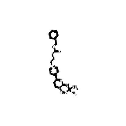 CC1(P)N=NN2C=CC(c3cc[n+](CCCC(=O)OCc4ccccc4)cc3)=NC2=N1